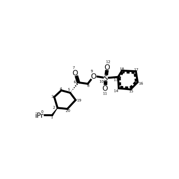 CC(C)C[C@H]1CC[C@H](C(=O)COS(=O)(=O)c2ccccc2)CC1